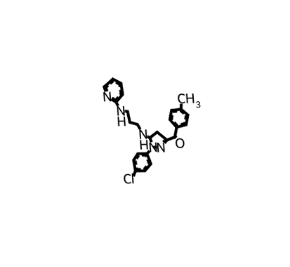 Cc1ccc(C(=O)C2=NN(c3ccc(Cl)cc3)C(NCCCNc3ccccn3)C2)cc1